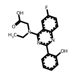 CCN(CC(=O)O)c1nc(-c2ccccc2O)nc2ccc(F)cc12